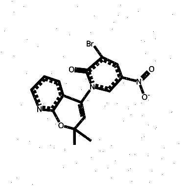 CC1(C)C=C(n2cc([N+](=O)[O-])cc(Br)c2=O)c2cccnc2O1